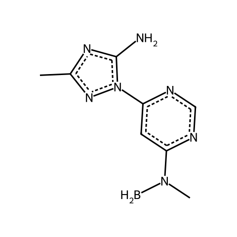 BN(C)c1cc(-n2nc(C)nc2N)ncn1